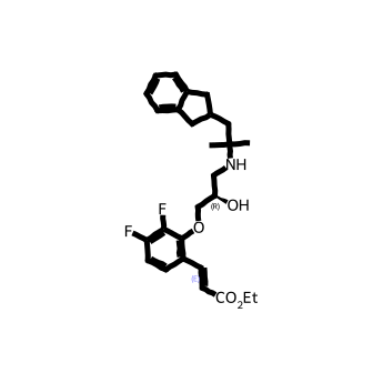 CCOC(=O)/C=C/c1ccc(F)c(F)c1OC[C@H](O)CNC(C)(C)CC1Cc2ccccc2C1